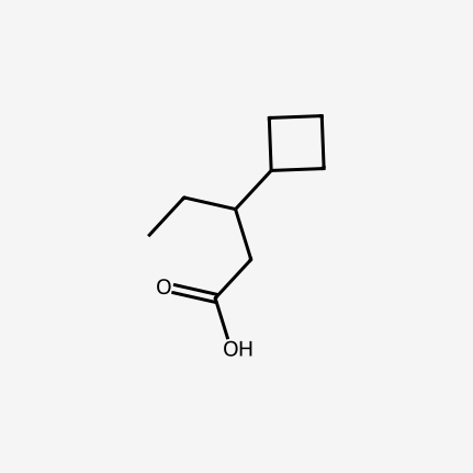 CCC(CC(=O)O)C1CCC1